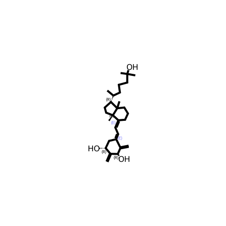 C=C1/C(=C/C=C2\CCCC3(C)[C@@H](C(C)CCCC(C)(C)O)CC[C@@]23C)C[C@@H](O)C(=C)[C@@H]1O